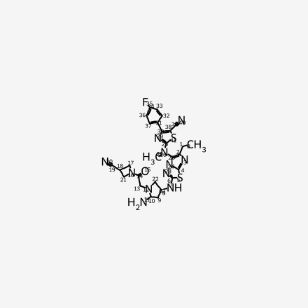 CCc1nc2sc(N[C@H]3CC(N)N(CC(=O)N4CC(C#N)C4)C3)nn2c1N(C)c1nc(-c2ccc(F)cc2)c(C#N)s1